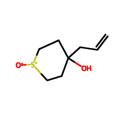 C=CCC1(O)CC[S+]([O-])CC1